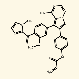 C=CC(=O)Nc1ccc(-c2nn3ncnc(N)c3c2-c2ccc(C(=O)c3nccn3C)c(OC)c2)cc1